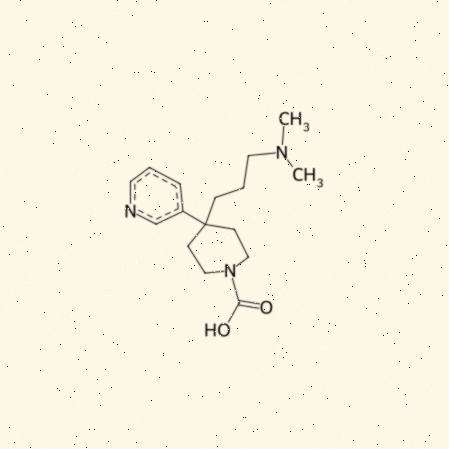 CN(C)CCCC1(c2cccnc2)CCN(C(=O)O)CC1